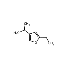 CCc1cc(C(C)C)co1